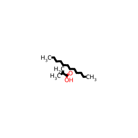 C=C(C)C(=O)O.CCCCCCCCCCCC